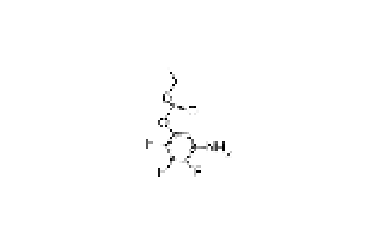 CCOC(=O)Oc1cc(N)c(F)c(F)c1F